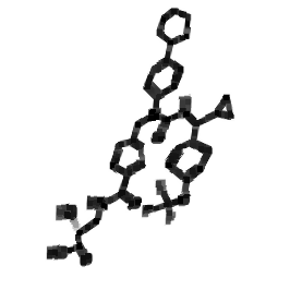 O=C(NC[C@@H](O)C(=O)O)c1ccc(CN(C(=O)NC(c2ccc(OC(F)(F)F)cc2)C2CC2)c2ccc(C3CCCCC3)cc2)cc1